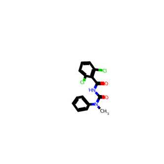 CN(C(=O)NC(=O)c1c(Cl)cccc1Cl)c1ccccc1